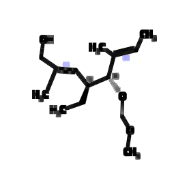 C/C=C(\C)[C@H](OCOC)[C@H](/C=C(\C)CO)CC